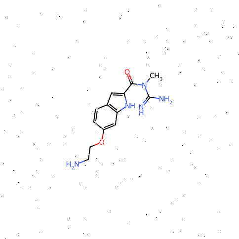 CN(C(=N)N)C(=O)c1cc2ccc(OCCN)cc2[nH]1